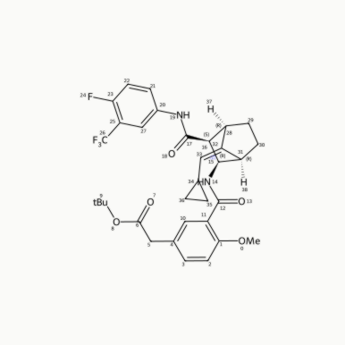 COc1ccc(CC(=O)OC(C)(C)C)cc1C(=O)N[C@H]1[C@@H](C(=O)Nc2ccc(F)c(C(F)(F)F)c2)[C@H]2CC[C@@H]1/C2=C\C1CC1